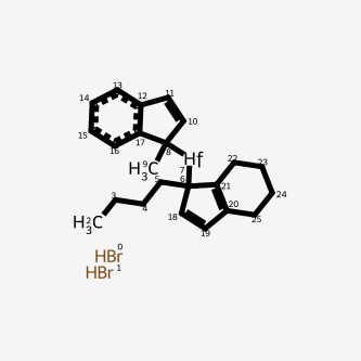 Br.Br.CCCC[C]1([Hf][C]2(C)C=Cc3ccccc32)C=CC2=C1CCCC2